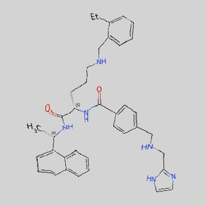 CCc1ccccc1CNCCC[C@H](NC(=O)c1ccc(CNCc2ncc[nH]2)cc1)C(=O)N[C@@H](C)c1cccc2ccccc12